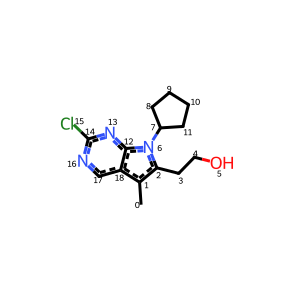 Cc1c(CCO)n(C2CCCC2)c2nc(Cl)ncc12